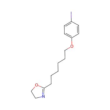 Ic1ccc(OCCCCCCC2=NCCO2)cc1